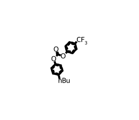 CCCCc1ccc(OC(=O)Oc2ccc(C(F)(F)F)cc2)cc1